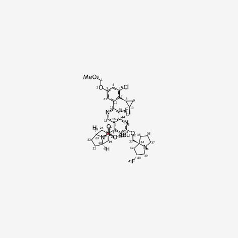 COCOc1cc(Cl)c([C@H]2C[C@H]2C)c(-c2ncc3c(N4C[C@H]5CC[C@@H](C4)N5C(=O)OC(C)(C)C)nc(OC[C@@]45CCCN4C[C@H](F)C5)nc3c2F)c1